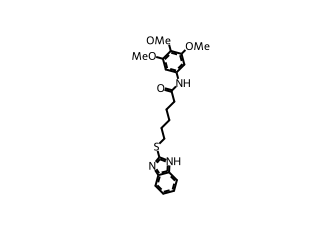 COc1cc(NC(=O)CCCCCSc2nc3ccccc3[nH]2)cc(OC)c1OC